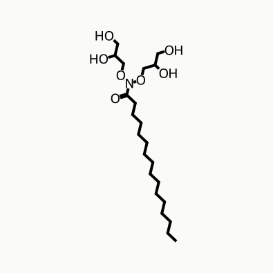 CCCCCCCCCCCCCCCC(=O)N(OCC(O)CO)OCC(O)CO